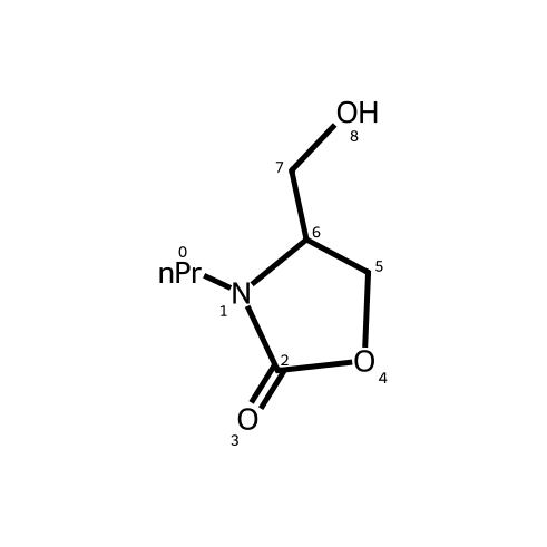 CCCN1C(=O)OCC1CO